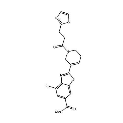 COC(=O)c1cc(Cl)c2nc(C3=CCCN(C(=O)CCc4nccs4)C3)sc2c1